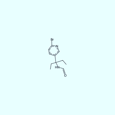 CCC(CC)(NC=O)c1ccc(Br)nc1